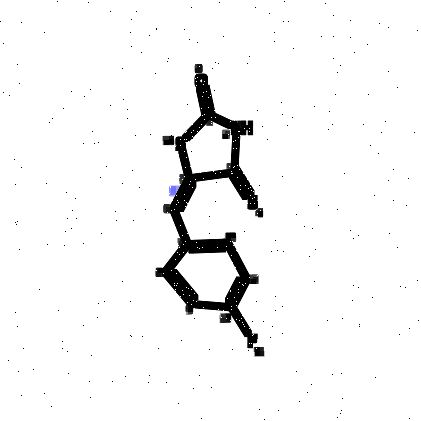 O=C1NC(=S)/C(=C\c2ccc(F)cc2)S1